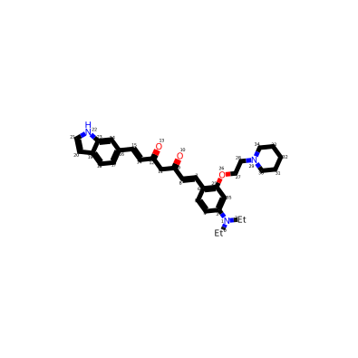 CCN(CC)c1ccc(C=CC(=O)CC(=O)C=Cc2ccc3cc[nH]c3c2)c(OCCN2CCCCC2)c1